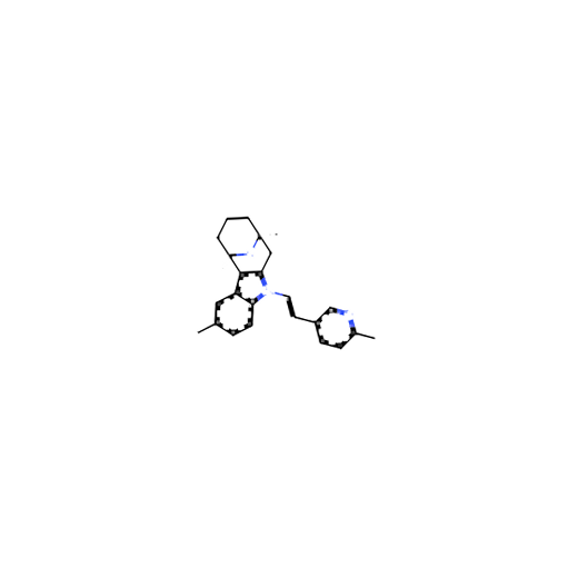 Cc1ccc2c(c1)c1c(n2C=Cc2ccc(C)nc2)C[C@@H]2CCC[C@H]1N2